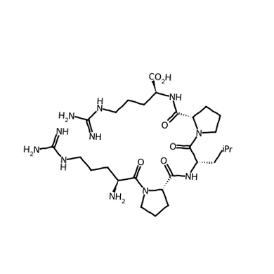 CC(C)C[C@H](NC(=O)[C@@H]1CCCN1C(=O)[C@@H](N)CCCNC(=N)N)C(=O)N1CCC[C@H]1C(=O)N[C@@H](CCCNC(=N)N)C(=O)O